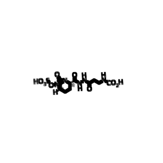 O=C(O)NCCC(=O)NNC(=O)[C@@H]1CC[C@@H]2CN1C(=O)N2OS(=O)(=O)O